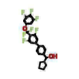 OC(c1ccc(-c2cc(F)c(C(F)(F)Oc3cc(F)c(F)c(F)c3)c(F)c2)cc1)C1CCCC1